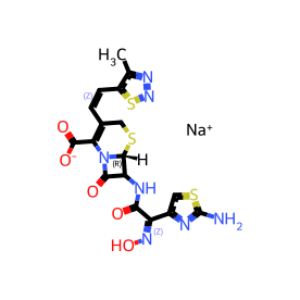 Cc1nnsc1/C=C\C1=C(C(=O)[O-])N2C(=O)C(NC(=O)/C(=N\O)c3csc(N)n3)[C@H]2SC1.[Na+]